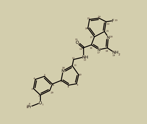 CC(C)Oc1cccc(-c2cccc(CNC(=O)c3nc(N)nc4c(F)cccc34)n2)c1